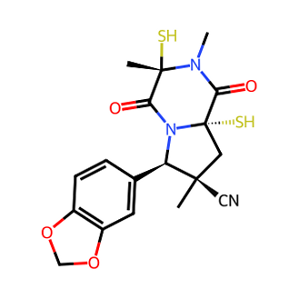 CN1C(=O)[C@@]2(S)C[C@@](C)(C#N)[C@@H](c3ccc4c(c3)OCO4)N2C(=O)[C@]1(C)S